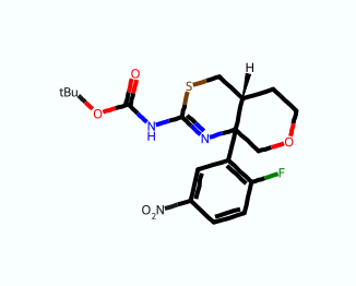 CC(C)(C)OC(=O)NC1=NC2(c3cc([N+](=O)[O-])ccc3F)COCC[C@H]2CS1